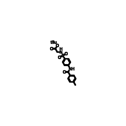 Cc1ccc(C(=O)Nc2ccc(S(=O)(=O)NCC(=O)OC(C)(C)C)cc2)cc1